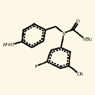 CCCCC(=O)N(Cc1ccc(OC)cc1)c1cc(F)cc(C#N)c1